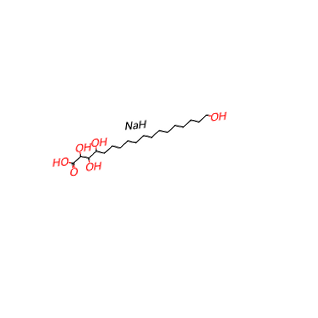 O=C(O)C(O)C(O)C(O)CCCCCCCCCCCCCCO.[NaH]